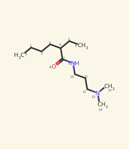 CCCCC(CC)C(=O)NCCCN(C)C